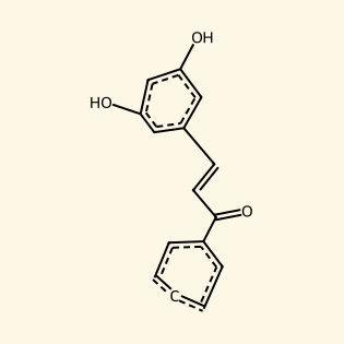 O=C(C=Cc1cc(O)cc(O)c1)c1ccccc1